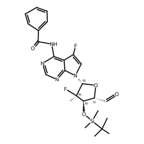 CC(C)(C)[Si](C)(C)O[C@@H]1[C@@H](C=O)O[C@@H](n2cc(F)c3c(NC(=O)c4ccccc4)ncnc32)[C@]1(C)F